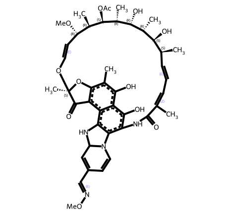 CO/N=C/C1=CC2Nc3c(c4c(O)c5c(O)c(C)c6c(c35)C(=O)[C@@](C)(O/C=C/[C@H](OC)[C@@H](C)[C@@H](OC(C)=O)[C@H](C)[C@H](O)[C@H](C)[C@@H](O)[C@@H](C)/C=C/C=C(/C)C(=O)N4)O6)N2C=C1